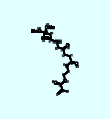 C=C(C)C(=O)OCCOC(=O)CCC(=O)CNCC[Si](OC)(OC)OC